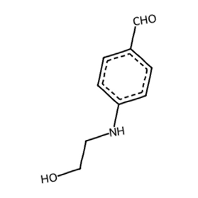 O=Cc1ccc(NCCO)cc1